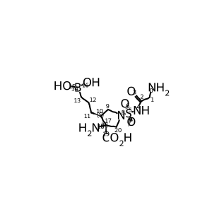 NCC(=O)NS(=O)(=O)N1C[C@H](CCCB(O)O)[C@](N)(C(=O)O)C1